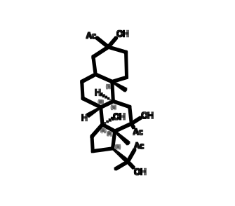 CC(=O)C1(O)CC[C@@]2(C)C(CC[C@@H]3[C@@H]2CC(O)(C(C)=O)[C@]2(C)[C@@H](C(C)(O)C(C)=O)CC[C@@]32O)C1